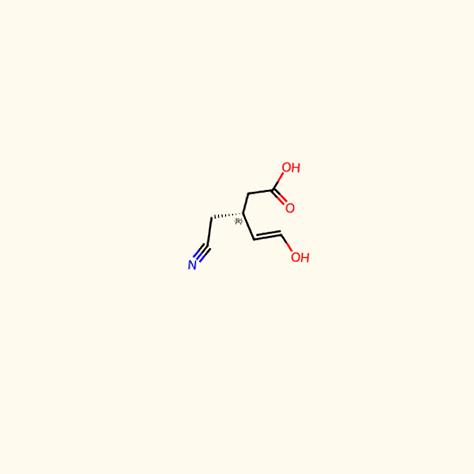 N#CC[C@@H](C=CO)CC(=O)O